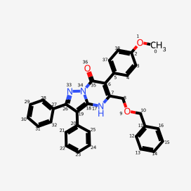 COc1ccc(-c2c(COCc3ccccc3)[nH]c3c(-c4ccccc4)c(-c4ccccc4)nn3c2=O)cc1